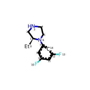 CC[C@H]1CNCCN1c1cc(F)cc(F)c1